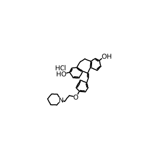 Cl.Oc1ccc2c(c1)CCc1cc(O)ccc1C2=Cc1ccc(OCCN2CCCCC2)cc1